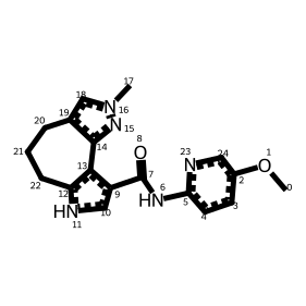 COc1ccc(NC(=O)c2c[nH]c3c2-c2nn(C)cc2CCC3)nc1